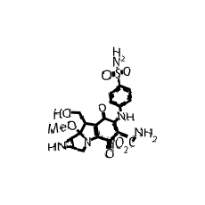 COC12C(CO)C3=C(C(=O)C(C)=C(Nc4ccc(S(N)(=O)=O)cc4)C3=O)N1CC1NC12.NC(=O)O